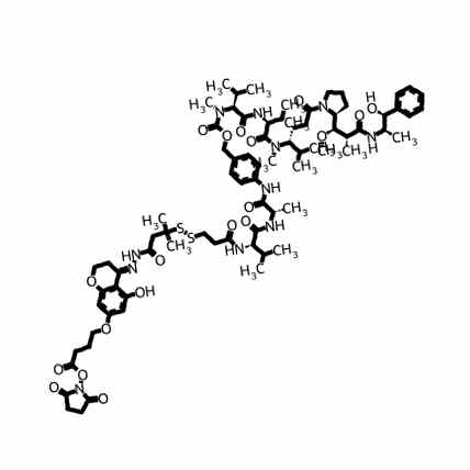 CO[C@H]([C@@H](C)C(=O)N[C@H](C)[C@@H](O)c1ccccc1)[C@@H]1CCCN1C(=O)CC[C@H](C(C)C)N(C)C(=O)[C@@H](NC(=O)[C@H](C(C)C)N(C)C(=O)OCc1ccc(NC(=O)[C@H](C)NC(=O)[C@@H](NC(=O)CCSSC(C)(C)CC(=O)N/N=C2\CCOc3cc(OCCCC(=O)ON4C(=O)CCC4=O)cc(O)c32)C(C)C)cc1)C(C)C